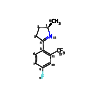 C[C@@H]1CCC(c2ccc(F)cc2C(F)(F)F)=N1